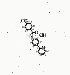 Cl.O=C(Nc1ccc(-c2cnccn2)cc1)c1ccc(Cl)cc1